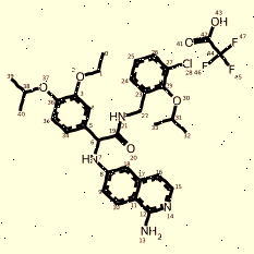 CCOc1cc(C(Nc2ccc3c(N)nccc3c2)C(=O)NCc2cccc(Cl)c2OC(C)C)ccc1OC(C)C.O=C(O)C(F)(F)F